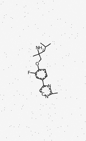 Cc1nccc(-c2ccc(OCC(C)(N)CC(C)C)c(F)c2)n1